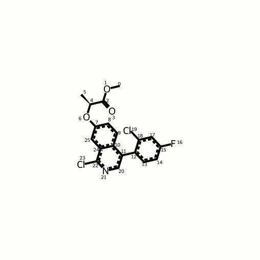 COC(=O)[C@H](C)Oc1ccc2c(-c3ccc(F)cc3Cl)cnc(Cl)c2c1